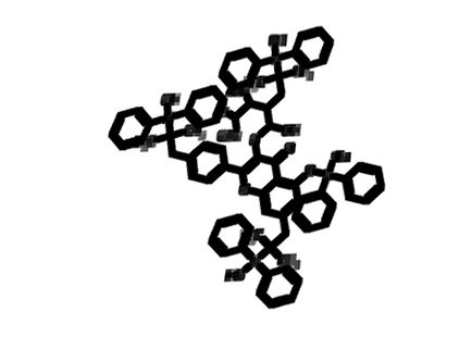 CCC(OC(C)=O)C(OC(C)=O)C(CC(C)(C)[Si](O)(c1ccccc1)c1ccccc1)C(O)Oc1c(-c2ccc(CC(C)(C)[Si](O)(c3ccccc3)c3ccccc3)cc2)oc2cc(CC(C)(C)[Si](O)(c3ccccc3)c3ccccc3)cc(O[Si](c3ccccc3)(c3ccccc3)C(C)(C)C)c2c1=O